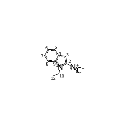 [C-]#[N+]c1cc2ccccc2n1CC